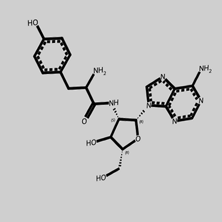 Nc1ncnc2c1ncn2[C@@H]1O[C@H](CO)C(O)[C@@H]1NC(=O)C(N)Cc1ccc(O)cc1